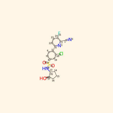 N#Cc1nc(-c2ccc(S(=O)(=O)N[C@H]3CCC[C@H]3O)cc2Cl)ccc1F